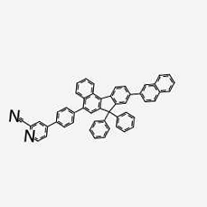 N#Cc1cc(-c2ccc(-c3cc4c(c5ccccc35)-c3ccc(-c5ccc6ccccc6c5)cc3C4(c3ccccc3)c3ccccc3)cc2)ccn1